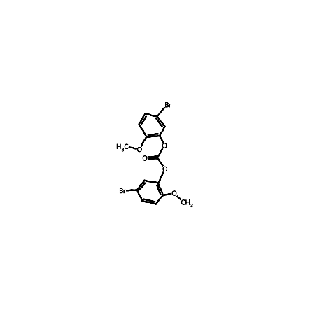 COc1ccc(Br)cc1OC(=O)Oc1cc(Br)ccc1OC